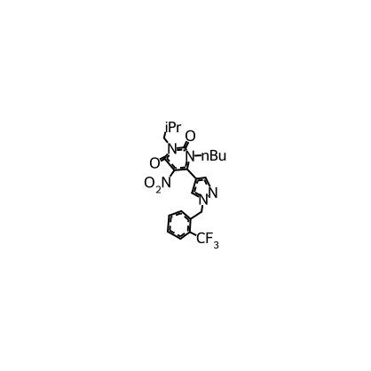 CCCCn1c(-c2cnn(Cc3ccccc3C(F)(F)F)c2)c([N+](=O)[O-])c(=O)n(CC(C)C)c1=O